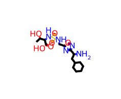 CC(O)C(NS(=O)(=O)NCc1nc(C(N)CC2CCCCC2)no1)C(=O)O